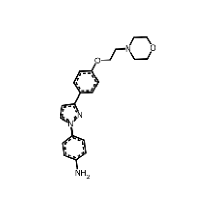 Nc1ccc(-n2ccc(-c3ccc(OCCN4CCOCC4)cc3)n2)cc1